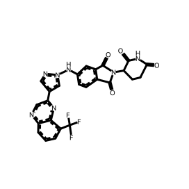 O=C1CCC(N2C(=O)c3ccc(Nn4cc(-c5cnc6cccc(C(F)(F)F)c6n5)cn4)cc3C2=O)C(=O)N1